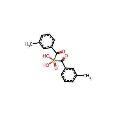 Cc1cccc(C(=O)S(=O)(O)(O)C(=O)c2cccc(C)c2)c1